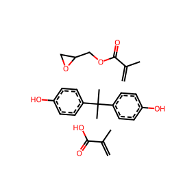 C=C(C)C(=O)O.C=C(C)C(=O)OCC1CO1.CC(C)(c1ccc(O)cc1)c1ccc(O)cc1